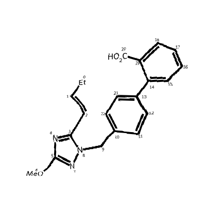 CCC=Cc1nc(OC)nn1Cc1ccc(-c2ccccc2C(=O)O)cc1